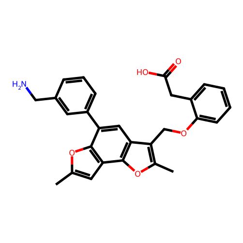 Cc1cc2c(o1)c(-c1cccc(CN)c1)cc1c(COc3ccccc3CC(=O)O)c(C)oc12